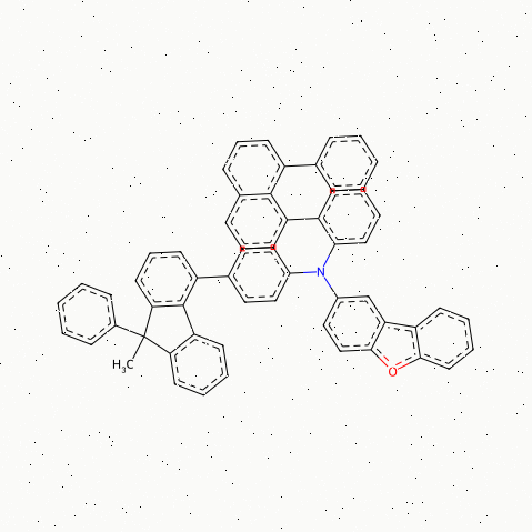 CC1(c2ccccc2)c2ccccc2-c2c(-c3ccc(N(c4ccc5oc6ccccc6c5c4)c4ccccc4-c4cccc5cccc(-c6ccccc6)c45)cc3)cccc21